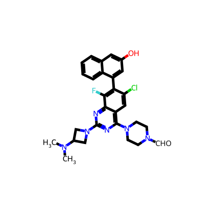 CN(C)C1CN(c2nc(N3CCN(C=O)CC3)c3cc(Cl)c(-c4cc(O)cc5ccccc45)c(F)c3n2)C1